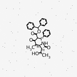 C[C@@H](O)[C@H]1C(=O)N[C@@H]1[C@@H](C)C(=O)C([I+]c1ccccc1)C(=O)OC(c1ccccc1)c1ccccc1